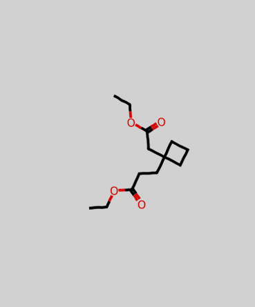 CCOC(=O)CCC1(CC(=O)OCC)CCC1